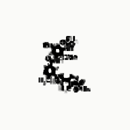 COc1c(NC(=O)c2ccc(C)c(N3C=C(C4CN=C(S(=O)(=O)C(C)(C)C)N4C)NN3)c2)cc(C(C)(C)C)cc1NS(C)(=O)=O